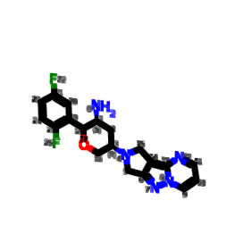 N[C@H]1C[C@@H](N2Cc3nn4cccnc4c3C2)COC1c1cc(F)ccc1F